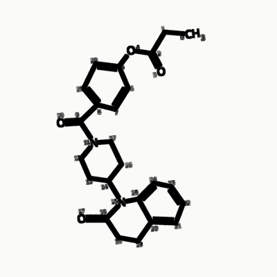 CCC(=O)Oc1ccc(C(=O)N2CCC(N3C(=O)CCc4ccccc43)CC2)cc1